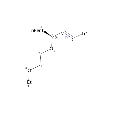 [Li]/[CH]=C/[C@H](CCCCC)OCCOCC